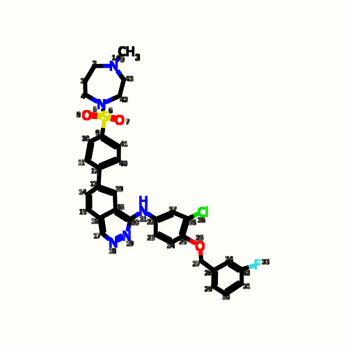 CN1CCCN(S(=O)(=O)c2ccc(-c3ccc4cnnc(Nc5ccc(OCc6cccc(F)c6)c(Cl)c5)c4c3)cc2)CC1